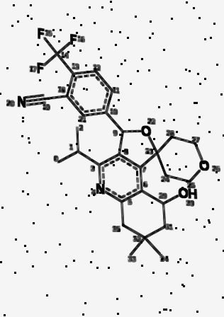 CC(C)c1nc2c(c3c1C(c1ccc(C(F)(F)F)c(C#N)c1)OC31CCOCC1)C(O)CC(C)(C)C2